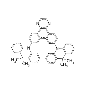 CC1(C)c2ccccc2N(c2ccc3c(c2)c2cc(N4c5ccccc5C(C)(C)c5ccccc54)ccc2c2nccnc32)c2ccccc21